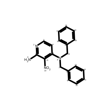 Nc1nccc(N(Cc2ccccc2)Cc2ccccc2)c1[N+](=O)[O-]